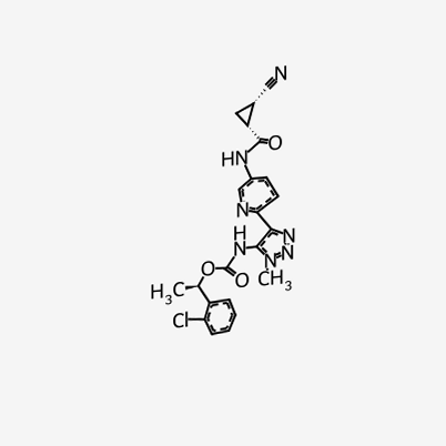 C[C@@H](OC(=O)Nc1c(-c2ccc(NC(=O)[C@@H]3C[C@@H]3C#N)cn2)nnn1C)c1ccccc1Cl